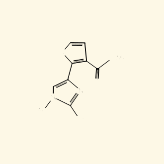 CCCCc1nc(-c2sccc2C(=O)OC)cn1C(C)=O